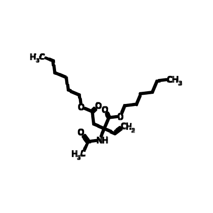 C=CC(CC(=O)OCCCCCC)(NC(C)=O)C(=O)OCCCCCC